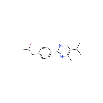 Cc1nc(-c2ccc(CC(C)I)cc2)ncc1C(C)C